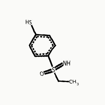 CCS(=N)(=O)c1ccc(S)cc1